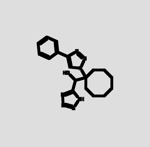 OC(c1nnn[nH]1)C1(n2cc(-c3ccccc3)nn2)CCCCCCC1